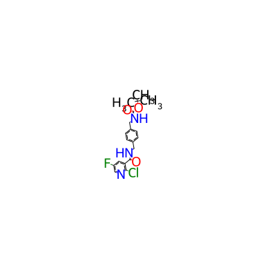 CC(C)(C)OC(=O)NCc1ccc(CNC(=O)c2cc(F)cnc2Cl)cc1